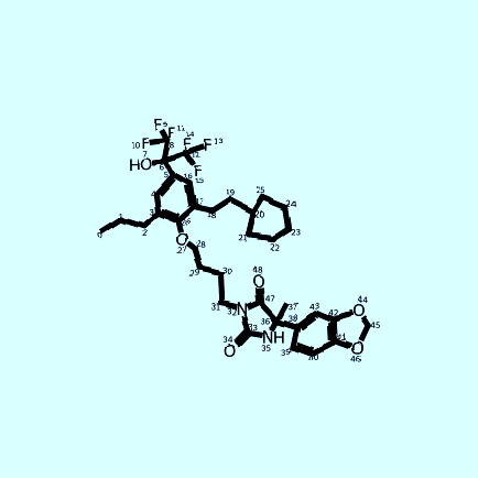 CCCc1cc(C(O)(C(F)(F)F)C(F)(F)F)cc(CCC2CCCCC2)c1OCCCCN1C(=O)NC(C)(c2ccc3c(c2)OCO3)C1=O